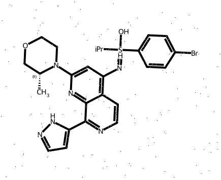 CC(C)[SH](O)(=Nc1cc(N2CCOC[C@H]2C)nc2c(-c3ccn[nH]3)nccc12)c1ccc(Br)cc1